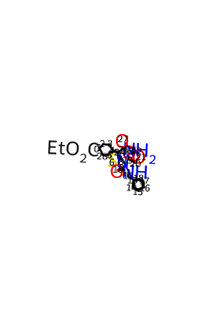 CCOC(=O)C1CCc2c(sc(N(C(=O)NCc3ccccc3)C3=COCO3)c2C(N)=O)C1